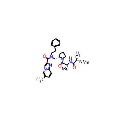 CN[C@@H](C)C(=O)N[C@H](C(=O)N1CCC[C@H]1CN(CCc1ccccc1)C(=O)c1cn2cc(C)ccc2n1)C(C)(C)C